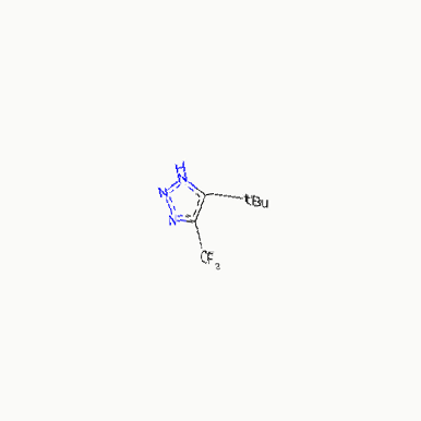 CC(C)(C)c1[nH]nnc1C(F)(F)F